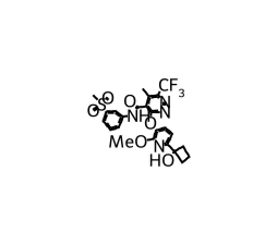 COc1nc(C2(O)CCC2)ccc1Oc1nnc(C(F)(F)F)c(C)c1C(=O)Nc1cccc(S(C)(=O)=O)c1